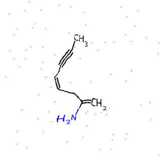 C=C(N)C/C=C\C#CC